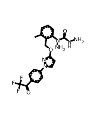 Cc1cccc(N(N)C(=O)NN)c1COc1ccn(-c2ccc(C(=O)C(F)(F)F)cc2)n1